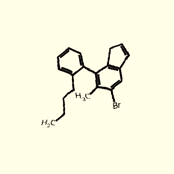 CCCCc1ccccc1-c1c(C)c(Br)cc2c1CC=C2